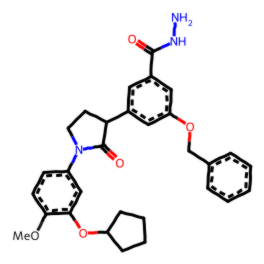 COc1ccc(N2CCC(c3cc(OCc4ccccc4)cc(C(=O)NN)c3)C2=O)cc1OC1CCCC1